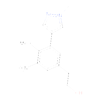 COc1c(-c2cnn(C)c2)cc(CCO)cc1[N+](=O)[O-]